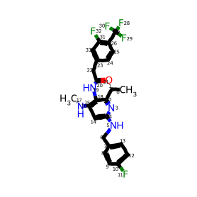 CCc1nc(NCc2ccc(F)cc2)cc(NC)c1NC(=O)Cc1ccc(C(F)(F)F)c(F)c1